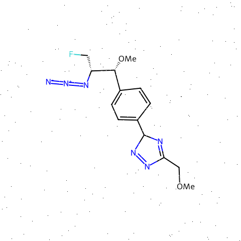 COCC1=NC(c2ccc([C@@H](OC)[C@@H](CF)N=[N+]=[N-])cc2)N=N1